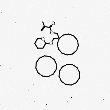 C1CCCCCCCCCCC1.C1CCCCCCCCCCC1.C=C(C)C(=O)OCC1(COC2CCCCO2)CCCCCCCCCCC1